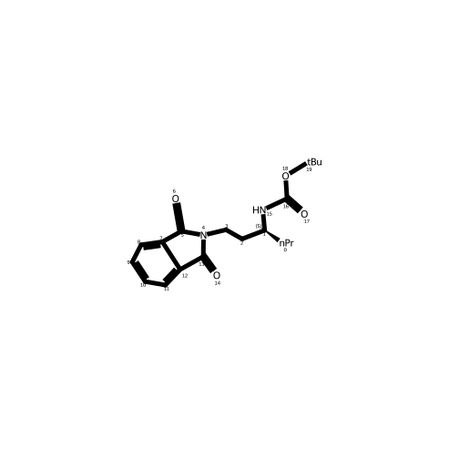 CCC[C@@H](CCN1C(=O)c2ccccc2C1=O)NC(=O)OC(C)(C)C